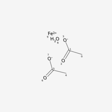 CC(=O)[O-].CC(=O)[O-].O.[Fe+2]